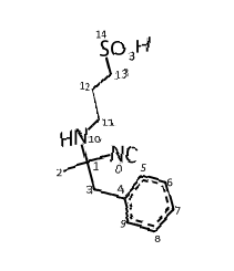 [C-]#[N+]C(C)(Cc1ccccc1)NCCCS(=O)(=O)O